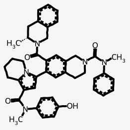 C[C@@H]1Cc2ccccc2CN1C(=O)c1cc2c(cc1-c1cc(C(=O)N(C)c3ccc(O)cc3)c3n1CCCC3)CCN(C(=O)N(C)c1ccccc1)C2